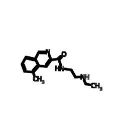 CCNCCNC(=O)c1cc2c(C)cccc2cn1